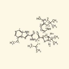 COc1cccc2[nH]c(C(=O)N[C@@H](CC(C)C)C(=O)N3C[C@H]4[C@@H]([C@H]3C(=O)N[C@H](C(=O)CO)C(C)(C)C)C4(C)C)cc12